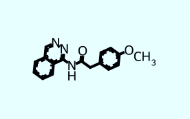 COc1ccc(CC(=O)Nc2nncc3ccccc23)cc1